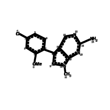 COc1cc(Cl)ccc1-c1nn(C)c2nc(N)ncc12